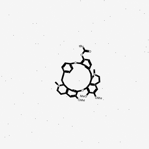 COc1cc2c3cc1Oc1c(OC)c(OC)cc4c1C(Cc1ccc(OC(=O)C(C)(C)C)c(c1)Oc1ccc(cc1)CC3N(C)CC2)N(C)CC4